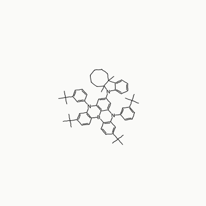 CC(C)(C)c1cccc(N2c3cc(C(C)(C)C)ccc3B3c4ccc(C(C)(C)C)cc4N(c4cccc(C(C)(C)C)c4)c4cc(N5c6ccccc6C6(C)CCCCCCC56C)cc2c43)c1